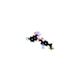 NC(=O)c1cc2cc(Cl)ccc2cc1OCC(=O)c1c[nH]c2cc(C3C[C@H]3C(F)(F)F)ccc12